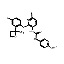 COc1ccc(NC(=O)Nc2ccc(C)nc2Oc2ccc(F)cc2C2(C(F)(F)F)CCO2)cn1